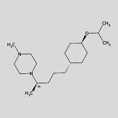 CC(C)O[C@H]1CC[C@H](CCC[C@@H](C)N2CCN(C)CC2)CC1